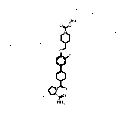 CC(C)(C)OC(=O)N1CCC(COc2ccc(C3=CCC(C(=O)N4CCC[C@H]4C(N)=O)CC3)cc2F)CC1